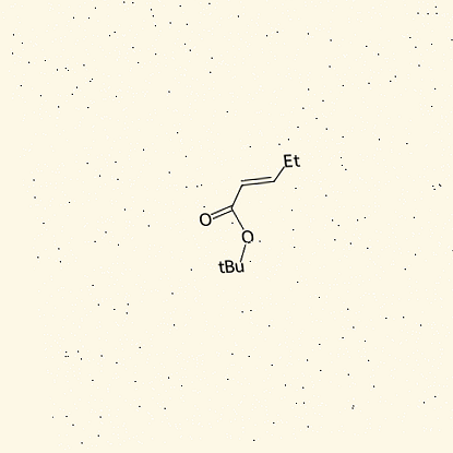 CCC=CC(=O)OC(C)(C)C